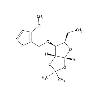 CC[C@H]1O[C@@H]2OC(C)(C)O[C@@H]2[C@H]1OCc1occc1OC